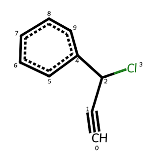 C#C[C](Cl)c1ccccc1